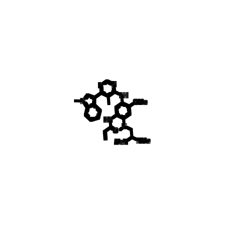 C=CC(=O)Nc1cc(Nc2ncnc(-c3cn(C)c4ccccc34)c2C)c(OC)cc1N(C)CC(NC)NC